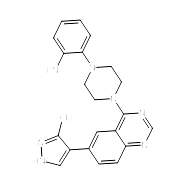 Cc1n[nH]cc1-c1ccc2ncnc(N3CCN(c4ccccc4N)CC3)c2c1